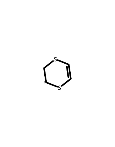 [C]1CSC=CS1